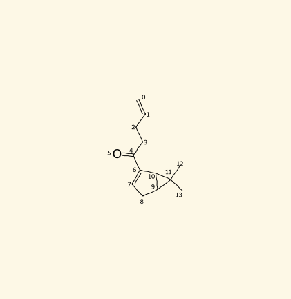 C=CCCC(=O)C1=CCC2C1C2(C)C